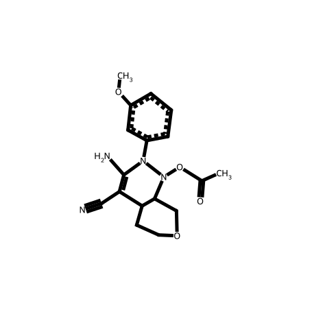 COc1cccc(N2C(N)=C(C#N)C3CCOCC3N2OC(C)=O)c1